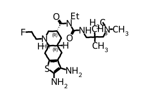 CCN(C(=O)NCC(C)(C)CN(C)C)C(=O)[C@@H]1C[C@@H]2Cc3c(sc(N)c3N)C[C@H]2N(CCF)C1